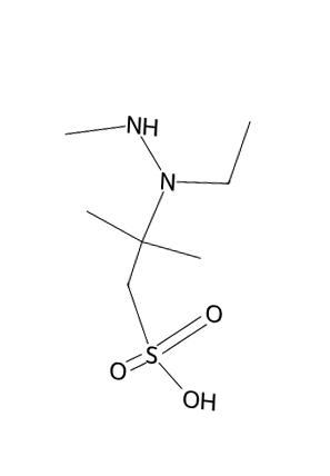 CCN(NC)C(C)(C)CS(=O)(=O)O